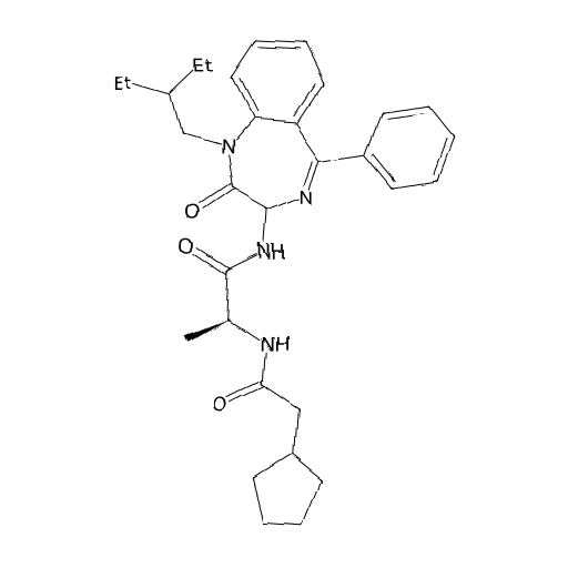 CCC(CC)CN1C(=O)C(NC(=O)[C@H](C)NC(=O)CC2CCCC2)N=C(c2ccccc2)c2ccccc21